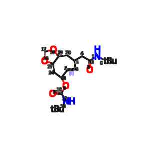 CC(C)(C)NC(=O)CC1/C=C/C(OC(=O)NC(C)(C)C)CC2OCOC2C1